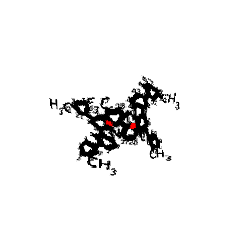 Cc1cccc(-c2ccc3c(c2)c2cc(-c4cccc(C)c4)ccc2n3-c2ccc(C#N)cc2-c2ccc(C(F)(F)F)cc2-n2c3ccc(-c4cccc(C)c4)cc3c3cc(-c4cccc(C)c4)ccc32)c1